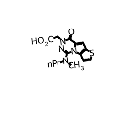 CCCN(C)c1nn(CC(=O)O)c(=O)c2cc3sccc3n12